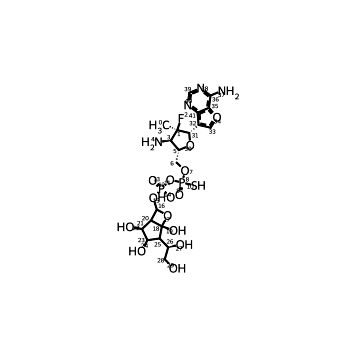 C[C@@]1(F)[C@H](N)[C@@H](COP(=O)(S)OP(=O)(O)OC2OC3(O)C2C(O)C(O)C3[C@@H](O)CO)O[C@H]1c1coc2c(N)ncnc12